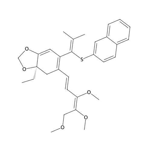 CC[C@@]12CC(/C=C/C(OC)=C(\COC)OC)=C(C(Sc3ccc4ccccc4c3)=C(C)C)C=C1OCO2